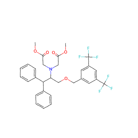 COC(=O)CN(CC(=O)OC)C(COCc1cc(C(F)(F)F)cc(C(F)(F)F)c1)C(c1ccccc1)c1ccccc1